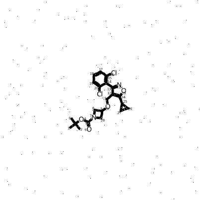 CC(C)(C)OC(=O)N1CC(OCc2c(-c3c(Cl)cccc3Cl)noc2C2CC2)C1